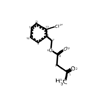 CC(=O)CC(=O)OCc1ccccc1Cl